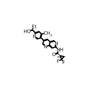 CC[C@H](O)c1cc(C)c(-c2cnc3cc(NC(=O)[C@H]4CC4(F)F)ncc3c2)cn1